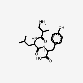 CC(C)CC(NC(=O)C(C)CN)C(=O)NC(Cc1ccc(O)cc1)C(=O)O